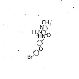 Cc1ccc(C(=O)NCc2cccc(Oc3ccc(Br)cc3)c2)c(N)n1